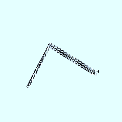 ClCCl.ClCCl.ClCCl.ClCCl.ClCCl.ClCCl.ClCCl.ClCCl.ClCCl.ClCCl.ClCCl.ClCCl.ClCCl.ClCCl.ClCCl.ClCCl.ClCCl.ClCCl.ClCCl.ClCCl.ClCCl.ClCCl.ClCCl.ClCCl.ClCCl.ClCCl.ClCCl.ClCCl.ClCCl.ClCCl.ClCCl.ClCCl.ClCCl.ClCCl.ClCCl.ClCCl.ClCCl.ClCCl.ClCCl.ClCCl.ClCCl.ClCCl.ClCCl.ClCCl.OCC(Cl)Cl